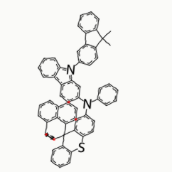 CC1(C)c2ccccc2-c2cc(-n3c4ccccc4c4ccc(N(c5ccccc5)c5ccc6c(c5)C5(c7ccccc7S6)c6ccccc6-c6cccc7cccc5c67)cc43)ccc21